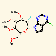 CCCCOC[C@H]1O[C@@H](n2ccc3c(Cl)ncnc32)[C@@H](F)[C@H](OCCCC)[C@@H](OCCCC)[C@@H]1OCCCC